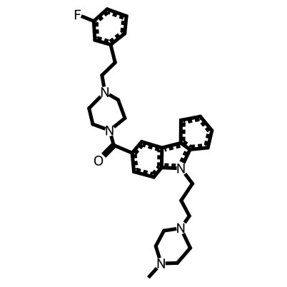 CN1CCN(CCCn2c3ccccc3c3cc(C(=O)N4CCN(CCc5cccc(F)c5)CC4)ccc32)CC1